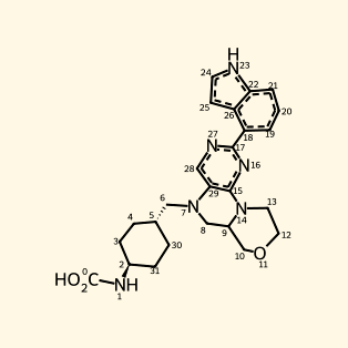 O=C(O)N[C@H]1CC[C@H](CN2CC3COCCN3c3nc(-c4cccc5[nH]ccc45)ncc32)CC1